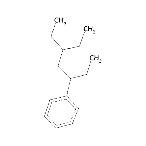 CCC(CC)CC(CC)c1ccccc1